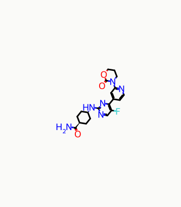 NC(=O)[C@H]1CC[C@H](Nc2ncc(F)c(-c3ccnc(N4CCCOC4=O)c3)n2)CC1